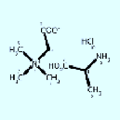 CC(N)C(=O)O.C[N+](C)(C)CC(=O)[O-].Cl